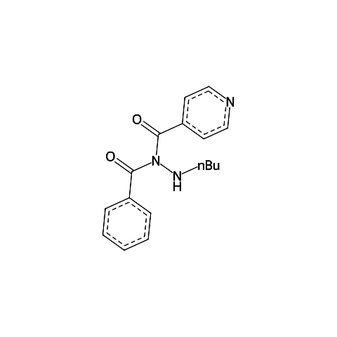 CCCCNN(C(=O)c1ccccc1)C(=O)c1ccncc1